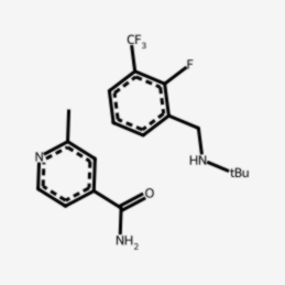 CC(C)(C)NCc1cccc(C(F)(F)F)c1F.Cc1cc(C(N)=O)ccn1